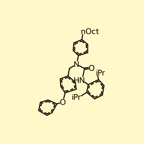 CCCCCCCCc1ccc(N(Cc2ccc(Oc3ccccc3)cc2)C(=O)Nc2c(C(C)C)cccc2C(C)C)cc1